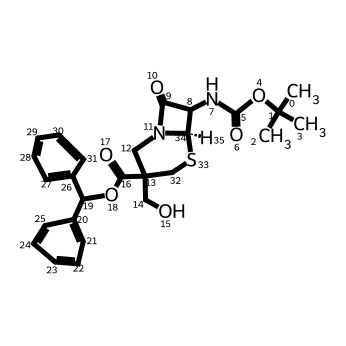 CC(C)(C)OC(=O)NC1C(=O)N2CC(CO)(C(=O)OC(c3ccccc3)c3ccccc3)CS[C@H]12